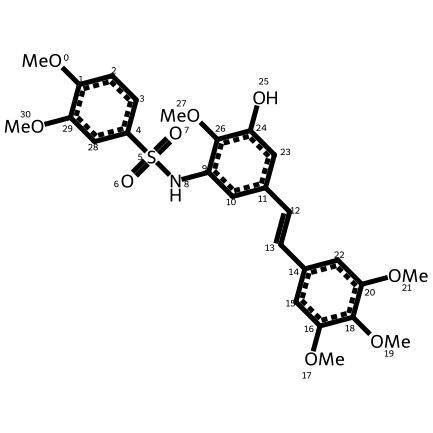 COc1ccc(S(=O)(=O)Nc2cc(C=Cc3cc(OC)c(OC)c(OC)c3)cc(O)c2OC)cc1OC